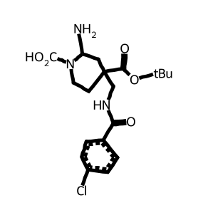 CC(C)(C)OC(=O)C1(CNC(=O)c2ccc(Cl)cc2)CCN(C(=O)O)C(N)C1